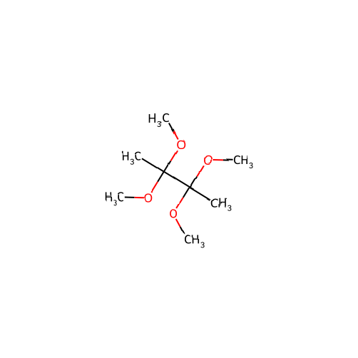 COC(C)(OC)C(C)(OC)OC